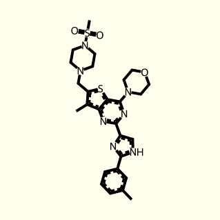 Cc1cccc(-c2nc(-c3nc(N4CCOCC4)c4sc(CN5CCN(S(C)(=O)=O)CC5)c(C)c4n3)c[nH]2)c1